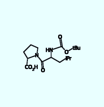 CC(C)CC(NC(=O)OC(C)(C)C)C(=O)N1CCCC1C(=O)O